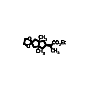 CCOC(=O)/C(C)=C1/C[C@@]2(C)CC3(C[C@@]2(C)C1)OCCO3